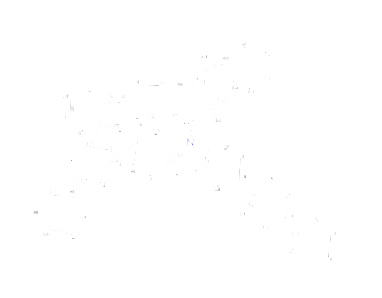 c1ccc(-c2ccc(-c3ccc(N(c4ccc5c(c4)C4(c6ccccc6-c6ccccc64)c4ccc(-c6ccccc6)cc4-5)c4ccc5sc6ccccc6c5c4)cc3)cc2)cc1